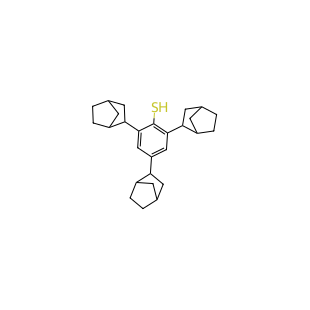 Sc1c(C2CC3CCC2C3)cc(C2CC3CCC2C3)cc1C1CC2CCC1C2